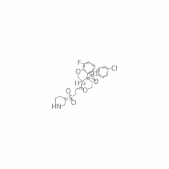 O=S(=O)(CC[C@@H]1OCC[C@@]2(S(=O)(=O)c3ccc(Cl)cc3)c3c(F)ccc(F)c3OC[C@@H]12)[C@H]1CCCNC1